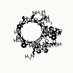 CCCC[C@@H]1NC(=O)[C@H](CCCCN)NC(=O)[C@H](CCCNC(=N)N)NC(=O)[C@H](CC(C)C)NC(=O)C(NC(=O)[C@H](Cc2cccc(Cl)c2)NC(=O)[C@@H]2CCCN2C(=O)[C@@H](NC(C)=O)C(C)C)CCSSC[C@@H](C(=O)NC(CCCCN)C(=O)N2CCC[C@H]2C(=O)N2CCC[C@H]2C(=O)N[C@@H](CCC(=O)O)C(N)=O)NC(=O)[C@H](Cc2ccccc2)NC(=O)[C@H](CO)NC(=O)C(C)(C)NC(=O)[C@@H]2CCCN2C1=O